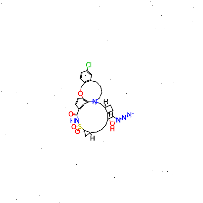 C[C@@]12C[C@H]1CCC[C@](O)(CN=[N+]=[N-])[C@@H]1CC[C@H]1CN1CCCCc3cc(Cl)ccc3COc3ccc(cc31)C(=O)NS2(=O)=O